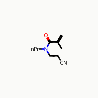 C=C(C)C(=O)N(CCC)CCC#N